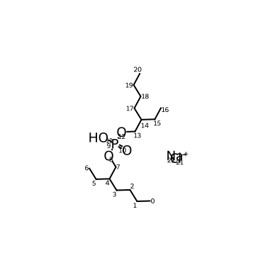 CCCCC(CC)COP(=O)(O)OCC(CC)CCCC.[Cl-].[Na+]